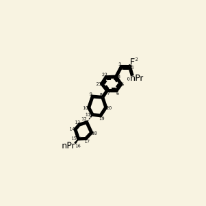 CCC/C(F)=C\c1ccc(C2CCC([C@H]3CC[C@H](CCC)CC3)CC2)cc1